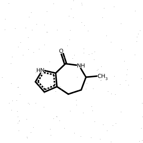 CC1CCc2cc[nH]c2C(=O)N1